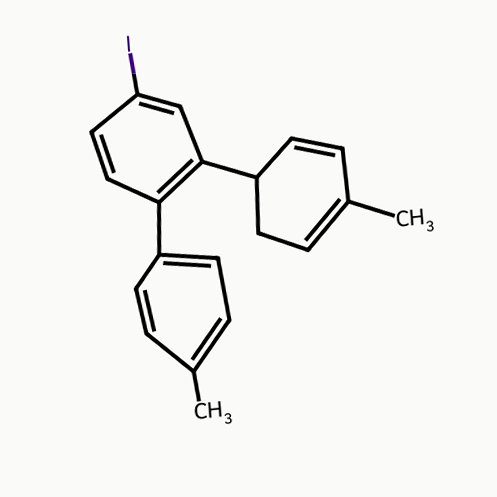 CC1=CCC(c2cc(I)ccc2-c2ccc(C)cc2)C=C1